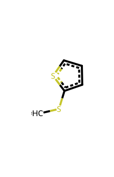 [CH]Sc1cccs1